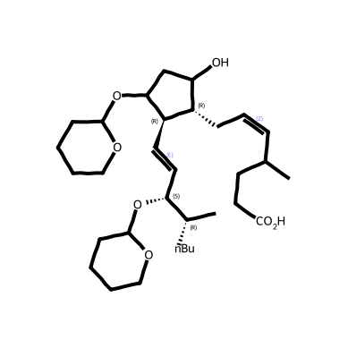 CCCC[C@@H](C)[C@@H](/C=C/[C@H]1C(OC2CCCCO2)CC(O)[C@@H]1C/C=C\C(C)CCC(=O)O)OC1CCCCO1